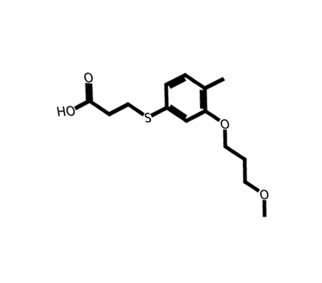 COCCCOc1cc(SCCC(=O)O)ccc1C